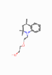 CC1CC(C)(C)N(CCOCCO)c2ccccc21